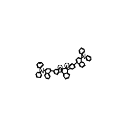 c1ccc(N(c2ccccc2)c2ccc(-c3ccc4c(c3)oc3c5oc6cc(-c7ccc(N(c8ccccc8)c8ccccc8)c8ccccc78)ccc6c5c5ccccc5c43)c3ccccc23)cc1